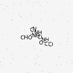 N=C(CC=O)c1cccnc1NCc1ccc(NC(=O)c2ccc3ccccc3c2)cc1